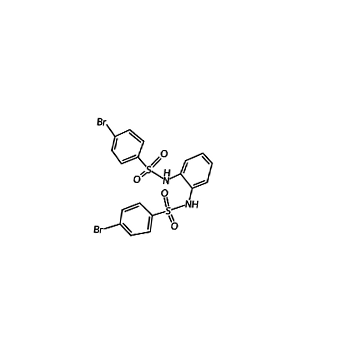 O=S(=O)(Nc1ccccc1NS(=O)(=O)c1ccc(Br)cc1)c1ccc(Br)cc1